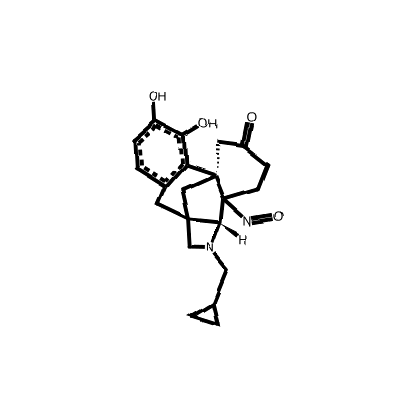 O=NC12CCC(=O)C[C@@]13CC1(Cc4ccc(O)c(O)c43)CN(CC3CC3)[C@H]12